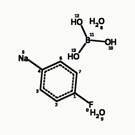 Fc1cc[c]([Na])cc1.O.O.OB(O)O